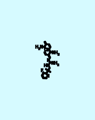 C=CC(=C\N=C(/N)NCC(C)(C)c1ncccc1F)/C(N)=N/C=C\C(=C)C(N)=O